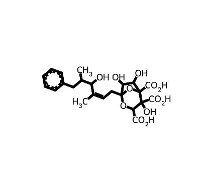 CC(=CCC12OC(C(=O)O)C(O)(C(=O)O)C(C(=O)O)(O1)C(O)C2O)C(O)C(C)Cc1ccccc1